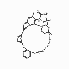 Cc1cc2nc3cn2c(c1[C@H](OC(C)(C)C)C(=O)O)N1CCC(C)(CCCCCCCc2ccccc2CC2=CN=C3C2)CC1